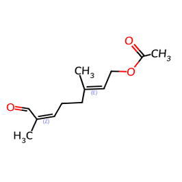 CC(=O)OC/C=C(\C)CC/C=C(/C)C=O